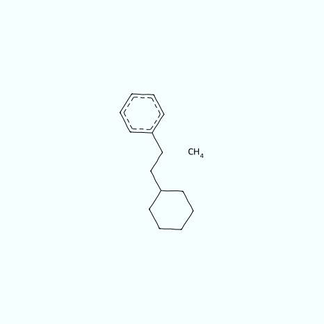 C.c1ccc(CCC2CCCCC2)cc1